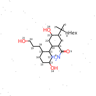 CCCCCCC(C)(C)C1CC(C(N)=O)C(C2CC(O)CCC2CCCO)CC1O